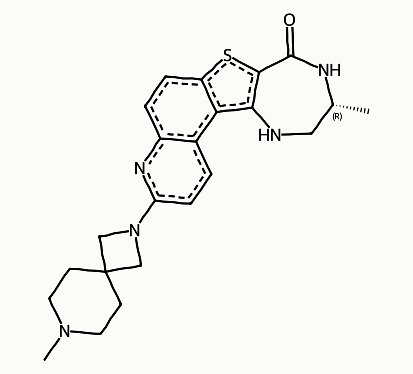 C[C@@H]1CNc2c(sc3ccc4nc(N5CC6(CCN(C)CC6)C5)ccc4c23)C(=O)N1